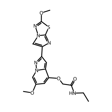 CCNC(=O)COc1cc(OC)cn2nc(-c3cn4nc(OC)sc4n3)cc12